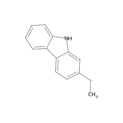 C[CH]c1ccc2c(c1)[nH]c1ccccc12